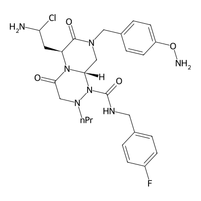 CCCN1CC(=O)N2[C@@H](CC(N)Cl)C(=O)N(Cc3ccc(ON)cc3)C[C@@H]2N1C(=O)NCc1ccc(F)cc1